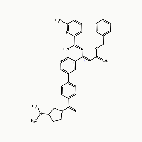 C=C(/C=C(\N=C(/N)c1cccc(C)n1)c1cncc(-c2ccc(C(=O)N3CCC(N(C)C)C3)cc2)c1)OCc1ccccc1